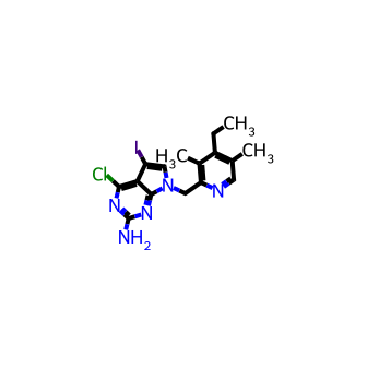 CCc1c(C)cnc(Cn2cc(I)c3c(Cl)nc(N)nc32)c1C